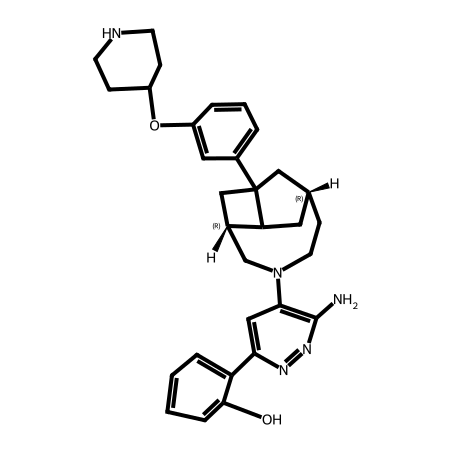 Nc1nnc(-c2ccccc2O)cc1N1CC[C@@H]2CC3[C@H](C1)CC3(c1cccc(OC3CCNCC3)c1)C2